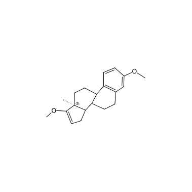 COC1=CCC2C3CCc4cc(OC)ccc4C3CC[C@]12C